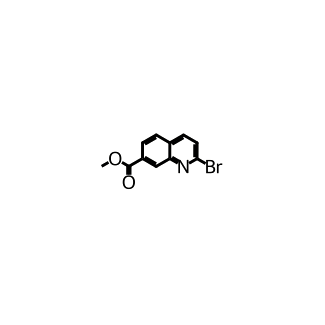 COC(=O)c1ccc2ccc(Br)nc2c1